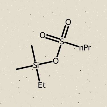 CCCS(=O)(=O)O[Si](C)(C)CC